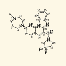 CN1CCCN(c2ccc3cc(C(=O)N4CCC(F)(F)C4)c4nc5ccccc5n4c3n2)CC1